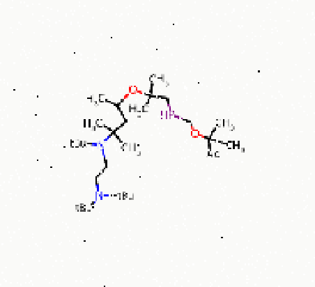 CC(=O)C(C)(C)OCPCC(C)(C)OC(C)CC(C)(C)N(CCN(C(C)(C)C)C(C)(C)C)C(C)(C)C